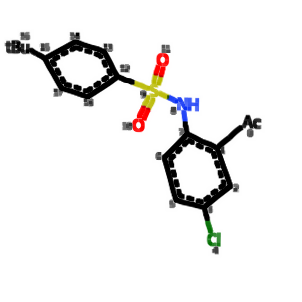 CC(=O)c1cc(Cl)ccc1NS(=O)(=O)c1ccc(C(C)(C)C)cc1